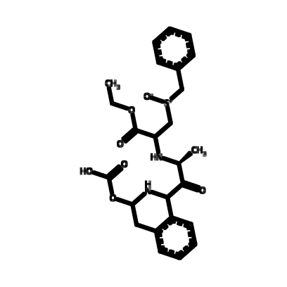 CCOC(=O)C(C[S+]([O-])Cc1ccccc1)N[C@@H](C)C(=O)C1NC(OC(=O)O)Cc2ccccc21